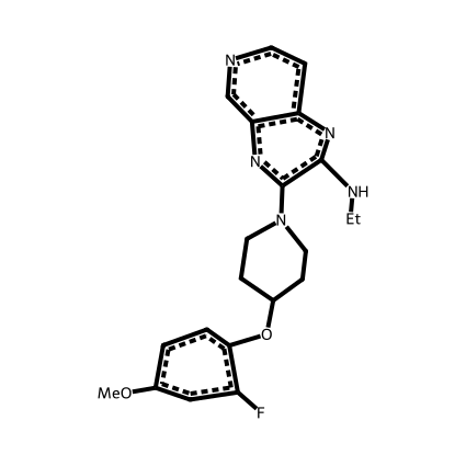 CCNc1nc2ccncc2nc1N1CCC(Oc2ccc(OC)cc2F)CC1